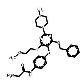 COCCOc1nc(N2CCN(C)CC2)nc(OCc2ccccc2)c1Sc1ccc(NC(=O)CN)cc1